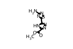 COC(=O)c1nnc(-c2nc(N)ns2)[nH]1